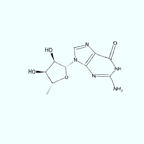 C[C@H]1O[C@@H](n2cnc3c(=O)[nH]c(N)nc32)[C@H](O)[C@@H]1O